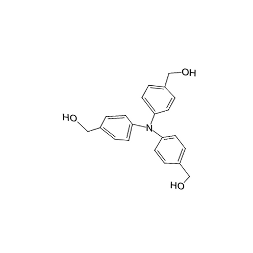 OCc1ccc(N(c2ccc(CO)cc2)c2ccc(CO)cc2)cc1